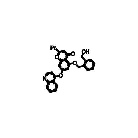 CC(C)c1cc(=O)c2c(OCc3ccccc3CO)cc(Oc3ccnc4ccccc34)cc2o1